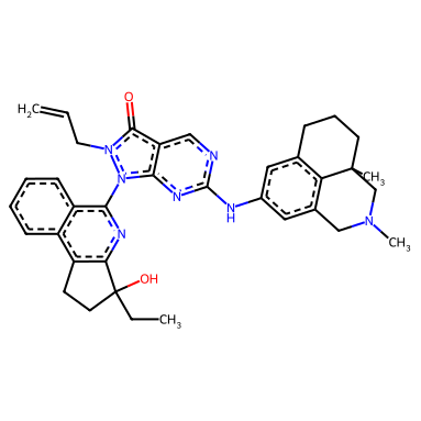 C=CCn1c(=O)c2cnc(Nc3cc4c5c(c3)CN(C)CC5(C)CCC4)nc2n1-c1nc2c(c3ccccc13)CCC2(O)CC